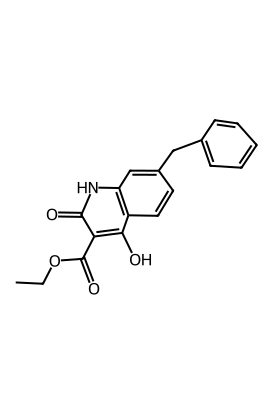 CCOC(=O)c1c(O)c2ccc(Cc3ccccc3)cc2[nH]c1=O